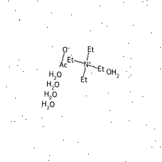 CC(=O)[O-].CC[N+](CC)(CC)CC.O.O.O.O.O